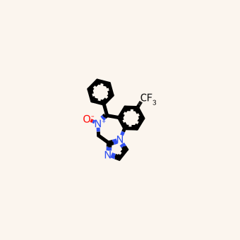 [O-][N+]1=C(c2ccccc2)c2cc(C(F)(F)F)ccc2-n2ccnc2C1